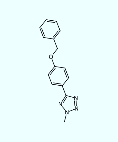 Cn1nnc(-c2ccc(OCc3ccccc3)cc2)n1